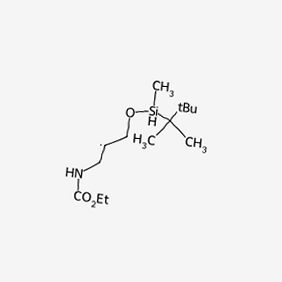 CCOC(=O)NC[CH]CO[SiH](C)C(C)(C)C(C)(C)C